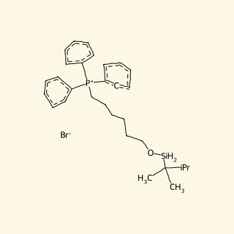 CC(C)C(C)(C)[SiH2]OCCCCCC[P+](c1ccccc1)(c1ccccc1)c1ccccc1.[Br-]